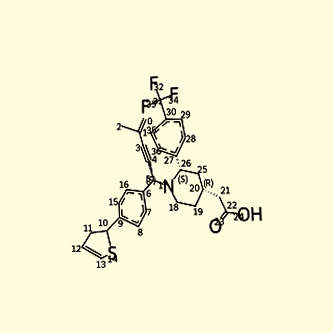 C=C(C)C#C[C@H](c1ccc(C2CC=CS2)cc1)N1CC[C@@H](CC(=O)O)C[C@H]1c1ccc(C(F)(F)F)cc1